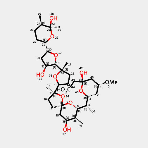 CO[C@@H]1C[C@H]([C@H](C)[C@H]2O[C@@]3(CC[C@@](C)(C4CC[C@@](C)([C@@H]5OC([C@@H]6CC[C@@H](C)[C@@](C)(O)O6)C[C@@H]5O)O4)O3)C[C@H](O)[C@H]2C)O[C@](O)(CC(=O)O)C1